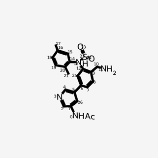 CC(=O)Nc1cncc(-c2ccc(CN)c(N(c3cc(C)ccc3C)[SH](=O)=O)c2)c1